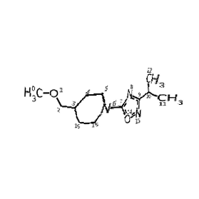 COCC1CCN(c2nc(C(C)C)no2)CC1